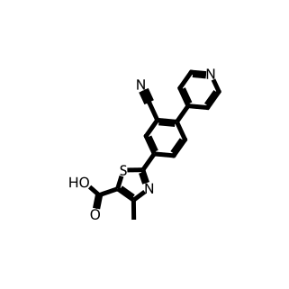 Cc1nc(-c2ccc(-c3ccncc3)c(C#N)c2)sc1C(=O)O